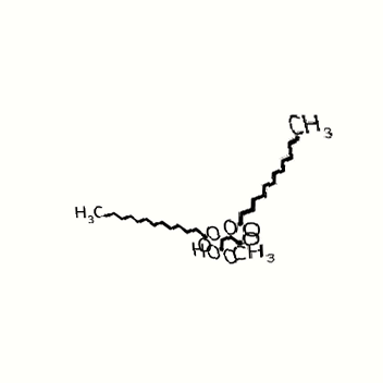 CCCCCCCCCCCCCC(=O)O[C@@H](C(C)=O)[C@@H](OC(=O)CCCCCCCCCCCCC)C(=O)O